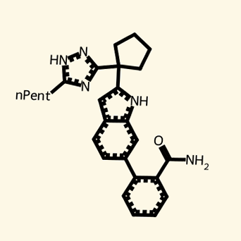 CCCCCc1nc(C2(c3cc4ccc(-c5ccccc5C(N)=O)cc4[nH]3)CCCC2)n[nH]1